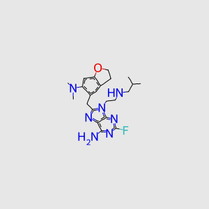 CC(C)CNCCn1c(Cc2cc3c(cc2N(C)C)OCC3)nc2c(N)nc(F)nc21